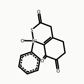 O=C1CC2=C(C(=O)C(=O)CC2)[N+]([O-])(c2ccccc2)S1